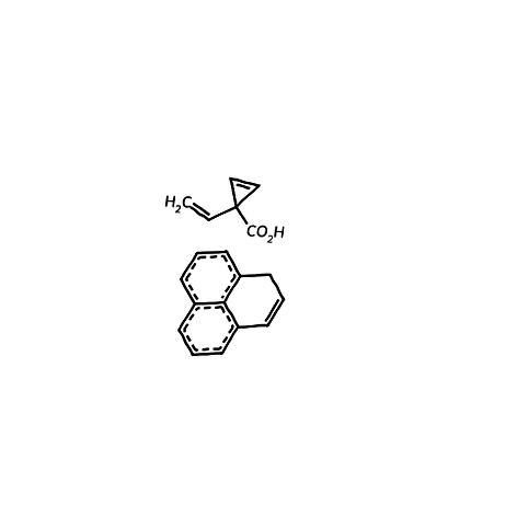 C1=Cc2cccc3cccc(c23)C1.C=CC1(C(=O)O)C=C1